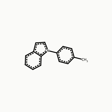 Cc1ccc(-n2ccc3c[c]ccc32)cc1